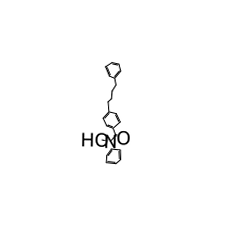 O=C(c1ccc(CCCCc2ccccc2)cc1)N(O)c1ccccc1